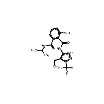 CCc1c(C(F)(F)F)n[nH]c1NC(=O)c1c(C)cccc1C(=O)NC(C)C